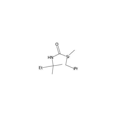 CCC(C)(C)NC(=O)[Si](C)CC(C)C